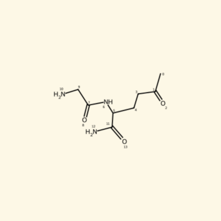 CC(=O)CCC(NC(=O)CN)C(N)=O